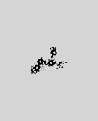 CC(=O)C(CO)NCc1cc(F)c(OCc2cccc(-c3ccc4c(c3)OCCO4)c2C)cc1OCc1cncc(C#N)c1